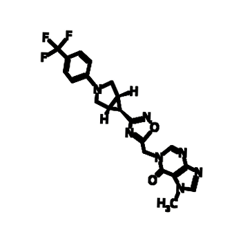 Cn1cnc2ncn(Cc3nc([C@H]4[C@@H]5CN(c6ccc(C(F)(F)F)cc6)C[C@@H]54)no3)c(=O)c21